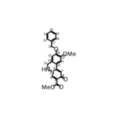 COC(=O)c1cn2c(cc1=O)-c1cc(OC)c(OCc3ccccc3)cc1CN2